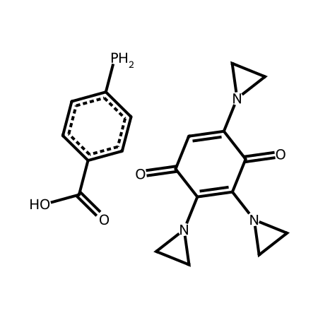 O=C(O)c1ccc(P)cc1.O=C1C=C(N2CC2)C(=O)C(N2CC2)=C1N1CC1